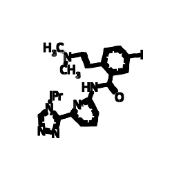 CC(C)n1cnnc1-c1cccc(NC(=O)c2cc(I)ccc2C=CN(C)C)n1